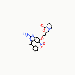 COC(=O)C1CCCCN1CCCCOc1cc2nc(N)nc(C(C)c3ccccc3)c2cc1[N+](=O)[O-]